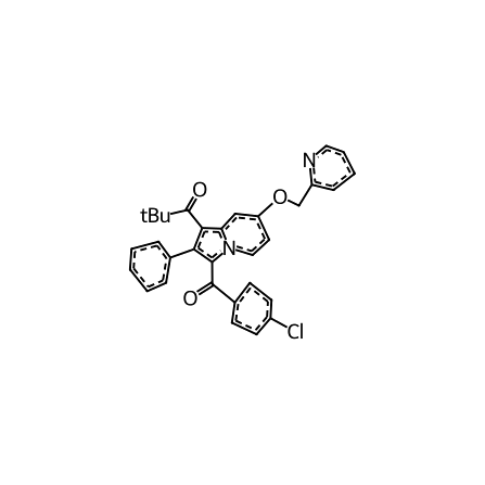 CC(C)(C)C(=O)c1c(-c2ccccc2)c(C(=O)c2ccc(Cl)cc2)n2ccc(OCc3ccccn3)cc12